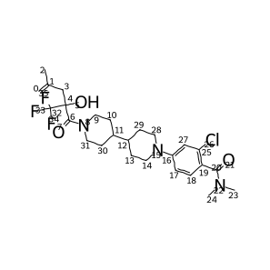 C=C(C)CC(O)(C(=O)N1CCC(C2CCN(c3ccc(C(=O)N(C)C)c(Cl)c3)CC2)CC1)C(F)(F)F